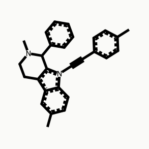 Cc1ccc(C#Cn2c3c(c4cc(C)ccc42)CCN(C)C3c2ccccc2)cc1